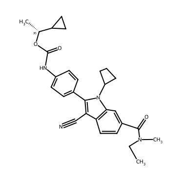 CCN(C)C(=O)c1ccc2c(C#N)c(-c3ccc(NC(=O)O[C@H](C)C4CC4)cc3)n(C3CCC3)c2c1